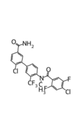 CN(C(=O)c1cc(F)c(Cl)cc1F)c1ccc(-c2cc(C(N)=O)ccc2Cl)cc1C(F)(F)F